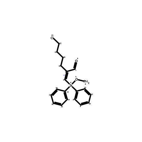 O=C/C(=C\[Si](OP)(c1ccccc1)c1ccccc1)CCCCCl